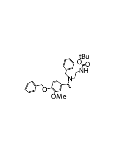 C=C(c1ccc(OCc2ccccc2)c(OC)c1)N(CCNC(=O)OC(C)(C)C)Cc1ccccc1